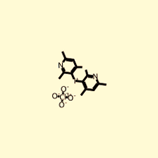 Cc1cc(C)c([I+]c2c(C)cc(C)nc2C)c(C)n1.[O-][Cl+3]([O-])([O-])[O-]